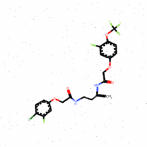 C=C(CCNC(=O)COc1ccc(Cl)c(F)c1)NC(=O)COc1ccc(OC(F)(F)F)c(F)c1